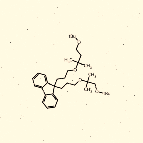 CC(C)(C)OCCC(C)(C)OCCCC1(CCCOC(C)(C)COC(C)(C)C)c2ccccc2-c2ccccc21